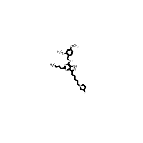 CCCCc1nc(NCc2ccc(OC)cc2OC)c2[nH]nc(CCCCCN3CCC(F)C3)c2n1